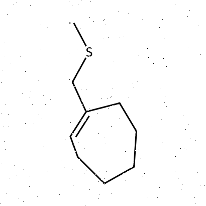 [CH2]SCC1=CCCCCC1